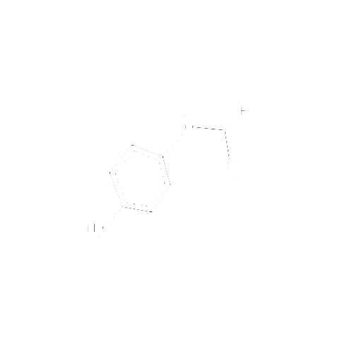 [CH2]c1ccc(OC(F)F)cc1